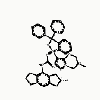 C[C@@H]1COc2c(S(=O)(=NC(=O)Nc3c4c(cc5c3C[C@H](F)C5)CCC4)NC(c3ccccc3)(c3ccccc3)c3ccccc3)cnn2C1